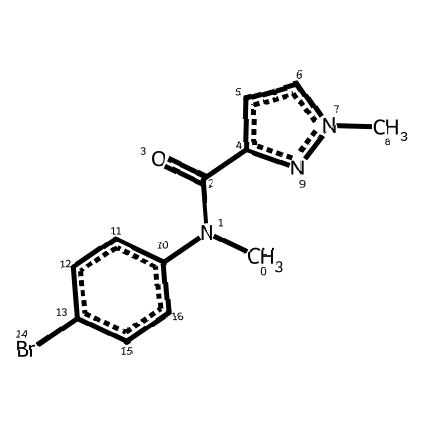 CN(C(=O)c1ccn(C)n1)c1ccc(Br)cc1